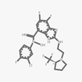 N=C(c1cc(F)c(F)c2nc(NCCN3CCC[C@H]3C(F)(F)F)[nH]c12)N(O)c1ccc(F)c(Cl)c1